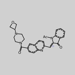 CC(=O)N1/C(=C\c2ccc3cc(C(=O)N4CCN(C5COC5)CC4)ccc3n2)C(=O)c2ccccc21